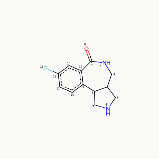 O=C1NCC2CNCC2c2ccc(F)cc21